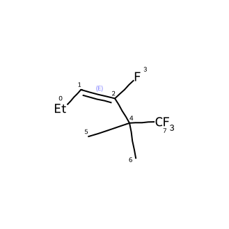 CC/C=C(/F)C(C)(C)C(F)(F)F